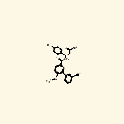 COc1ccc(C(=O)N[C@@H](CC(=O)O)c2ccc(C)cc2)nc1-c1cccc(C#N)c1